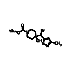 Cc1cc(C(Br)C2(O)CCN(C(=O)OC(C)(C)C)CC2)sn1